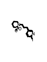 O=S1(=O)CCCCN1CCCc1ccc(I)nc1